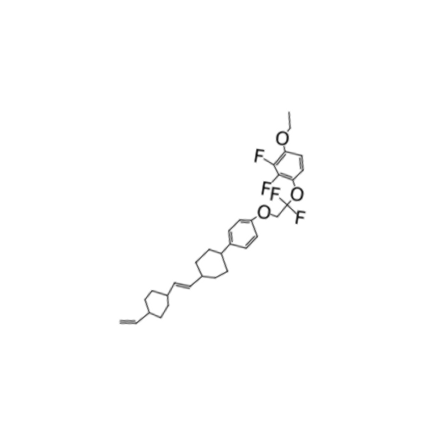 C=CC1CCC(/C=C/C2CCC(c3ccc(OCC(F)(F)Oc4ccc(OCC)c(F)c4F)cc3)CC2)CC1